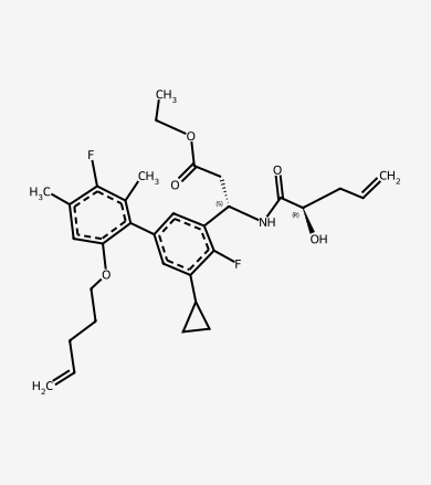 C=CCCCOc1cc(C)c(F)c(C)c1-c1cc(C2CC2)c(F)c([C@H](CC(=O)OCC)NC(=O)[C@H](O)CC=C)c1